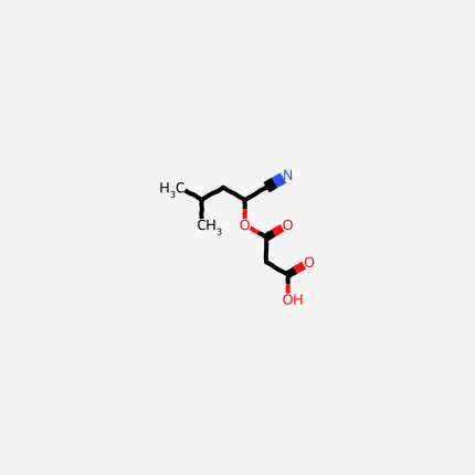 CC(C)CC(C#N)OC(=O)CC(=O)O